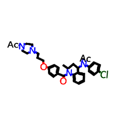 CC(=O)N1CCN(CCCOc2ccc(C(=O)N3c4ccccc4C(N(C(C)=O)c4ccc(Cl)cc4)CC3C)cc2)CC1